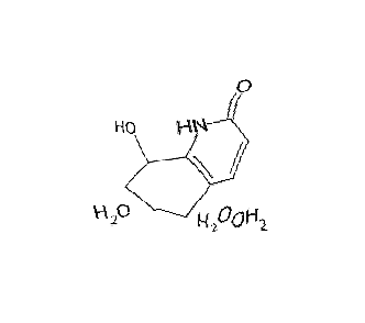 O.O.O.O=c1ccc2c([nH]1)C(O)CCC2